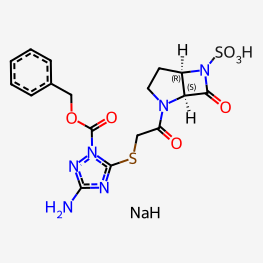 Nc1nc(SCC(=O)N2CC[C@@H]3[C@H]2C(=O)N3S(=O)(=O)O)n(C(=O)OCc2ccccc2)n1.[NaH]